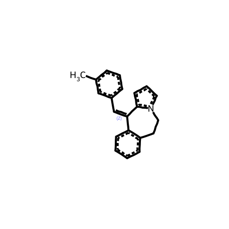 Cc1cccc(/C=C2/c3ccccc3CCn3cccc32)c1